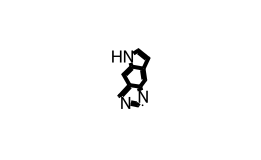 [c]1ncc2cc3[nH]ccc3cc2n1